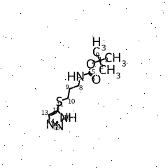 CC(C)(C)OC(=O)NCCCSc1cnn[nH]1